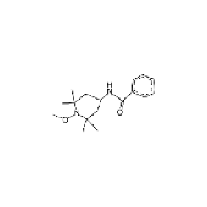 CON1C(C)(C)CC(NC(=O)c2ccccc2)CC1(C)C